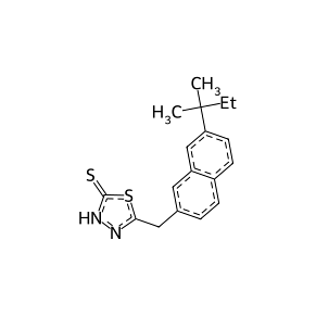 CCC(C)(C)c1ccc2ccc(Cc3n[nH]c(=S)s3)cc2c1